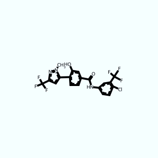 Cn1nc(C(F)(F)F)cc1-c1ccc(C(=O)Nc2ccc(Cl)c(C(F)(F)F)c2)cc1O